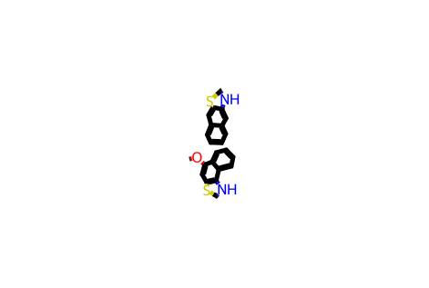 COc1cc2c(c3ccccc13)NCS2.c1ccc2cc3c(cc2c1)NCS3